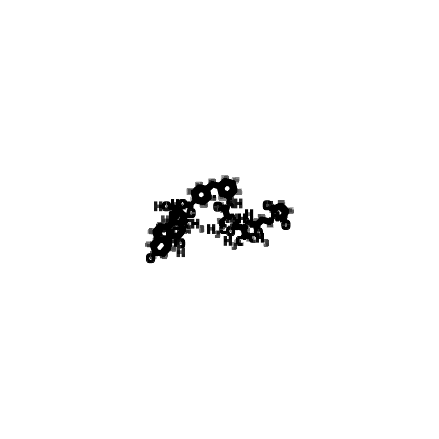 CC[C@H](NC(=O)C(NC(=O)CCN1C(=O)C=CC1=O)C(C)C)C(=O)Nc1cccc(Cc2ccc([C@@H]3O[C@@H]4C[C@H]5[C@@H]6CCC7=CC(=O)C=C[C@]7(C)[C@H]6[C@@H](O)C[C@]5(C)[C@]4(C(=O)CO)O3)cc2)c1